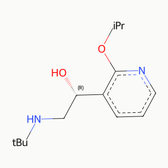 CC(C)Oc1ncccc1[C@@H](O)CNC(C)(C)C